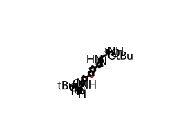 CC(C)(C)OC(=O)N[C@@H]1C[C@@H]1CCc1nc2ccc(-c3ccc4cc(-c5ccc6nc([C@@H]7C[C@H]8C[C@H]8N7C(=O)OC(C)(C)C)[nH]c6c5)ccc4c3)cc2[nH]1